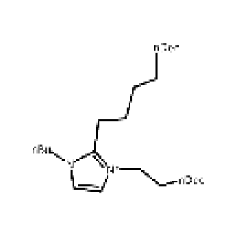 CCCCCCCCCCCCCCc1n(CCCC)cc[n+]1CCCCCCCCCCCC